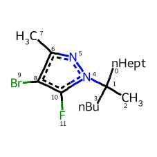 CCCCCCCC(C)(CCCC)n1nc(C)c(Br)c1F